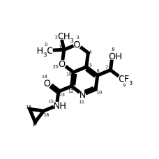 CC1(C)OCc2c(C(O)C(F)(F)F)cnc(C(=O)NC3CC3)c2O1